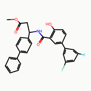 COC(=O)CC(NC(=O)c1cc(-c2cc(F)cc(F)c2)ccc1O)c1ccc(-c2ccccc2)cc1